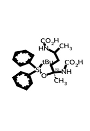 CC(CC[C@@](C)(NC(=O)O)O[Si](c1ccccc1)(c1ccccc1)C(C)(C)C)NC(=O)O